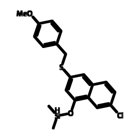 COc1ccc(CSc2cc(O[SiH](C)C)c3cc(Cl)ccc3c2)cc1